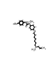 C=CCN(C)CCCCCCCOC1CCC(N(C)C(=O)Nc2ccc(CCCC)cc2)CC1